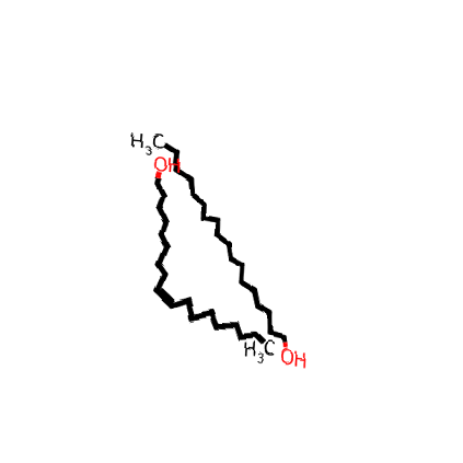 CCCCCCCC/C=C\CCCCCCCCO.CCCCCCCCCCCCCCCCCCO